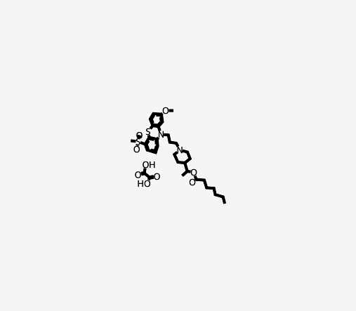 CCCCCCC(=O)OC(C)C1CCN(CCCN2c3cc(OC)ccc3Sc3c2cccc3S(C)(=O)=O)CC1.O=C(O)C(=O)O